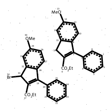 CCOC(=O)C1=C(c2ccccc2)c2ccc(OC)cc2C1.CCOC(=O)C1=C(c2ccccc2)c2ccc(OC)cc2C1Br